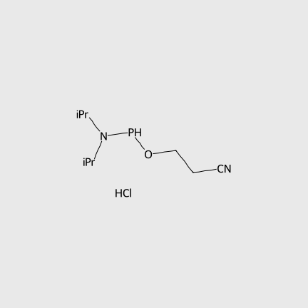 CC(C)N(POCCC#N)C(C)C.Cl